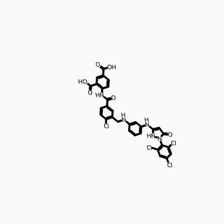 O=C(O)c1ccc(NC(=O)c2ccc(Cl)c(CNc3cccc(Nc4cc(=O)n(-c5c(Cl)cc(Cl)cc5Cl)[nH]4)c3)c2)c(C(=O)O)c1